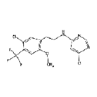 COc1cc(C(F)(F)F)c(Cl)cc1CCNc1cc(Cl)ncn1